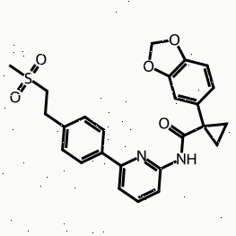 CS(=O)(=O)CCc1ccc(-c2cccc(NC(=O)C3(c4ccc5c(c4)OCO5)CC3)n2)cc1